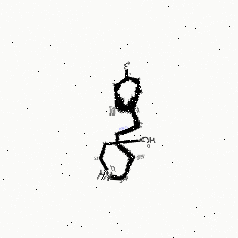 OC1(/C=C/c2ccc(F)cc2)CCNCC1